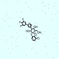 OCC1OC(Sc2cccc(Cl)c2Cl)[C@@H](O)C(n2cc(-c3cc(F)c(F)c(F)c3)nn2)C1O